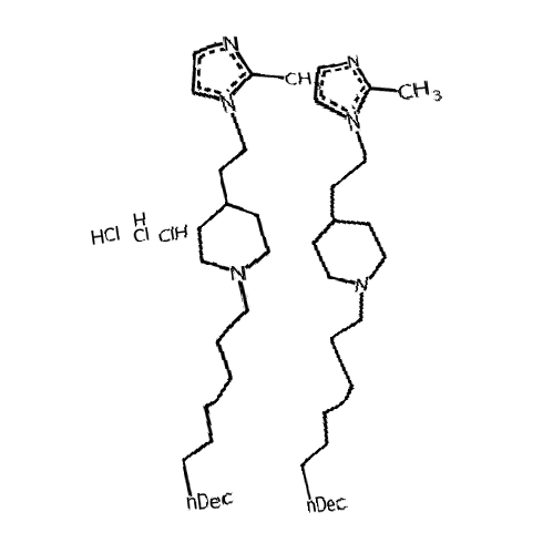 CCCCCCCCCCCCCCCCN1CCC(CCn2ccnc2C)CC1.CCCCCCCCCCCCCCCCN1CCC(CCn2ccnc2C)CC1.Cl.Cl.Cl